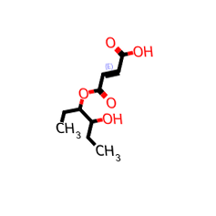 CCC(O)C(CC)OC(=O)/C=C/C(=O)O